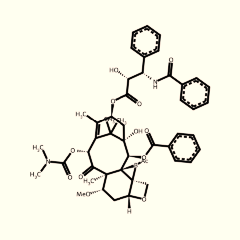 CO[C@H]1C[C@H]2OC[C@]23B(C(C)=O)[C@@]32[C@H](OC(=O)c3ccccc3)[C@]3(O)C[C@H](OC(=O)[C@H](O)[C@@H](NC(=O)c4ccccc4)c4ccccc4)C(C)=C([C@@H](OC(=O)N(C)C)C(=O)[C@]12C)C3(C)C